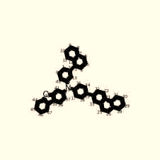 c1cc(-c2cccc3ccccc23)cc(N(c2ccc(-c3ccc4c(ccc5ccccc54)c3)cc2)c2ccc3c(c2)oc2ccccc23)c1